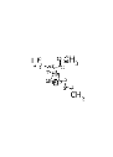 CCCCC1=NC(CCCC)(CCCC)CO1